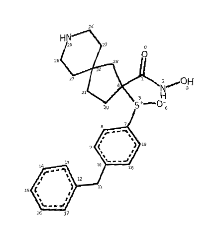 O=C(NO)C1([S+]([O-])c2ccc(Cc3ccccc3)cc2)CCC2(CCNCC2)C1